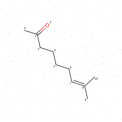 CC(=O)CCCCC=C(C)C